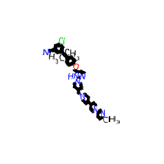 Cc1ccc(N2CCC(C3CCN(CC4CCN(C5=NC=CC(COc6ccc(C(C)(C)c7cc(Cl)cc(C#N)c7)cc6)N5)CC4)CC3)CC2)cn1